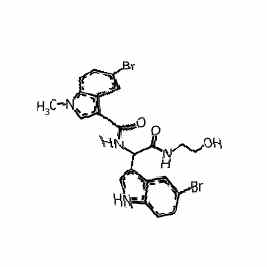 Cn1cc(C(=O)NC(C(=O)NCCO)c2c[nH]c3ccc(Br)cc23)c2cc(Br)ccc21